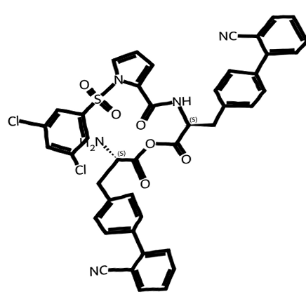 N#Cc1ccccc1-c1ccc(C[C@H](NC(=O)c2cccn2S(=O)(=O)c2cc(Cl)cc(Cl)c2)C(=O)OC(=O)[C@@H](N)Cc2ccc(-c3ccccc3C#N)cc2)cc1